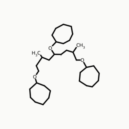 CC(C[CH]C(CC(C)CCOC1CCCCCCC1)OC1CCCCCCC1)COC1CCCCCCC1